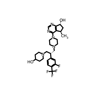 C[C@@H]1C[C@@H](O)c2ncnc(N3CCN(C[C@@H](CN4CCC(O)CC4)c4ccc(C(F)(F)F)c(F)c4)CC3)c21